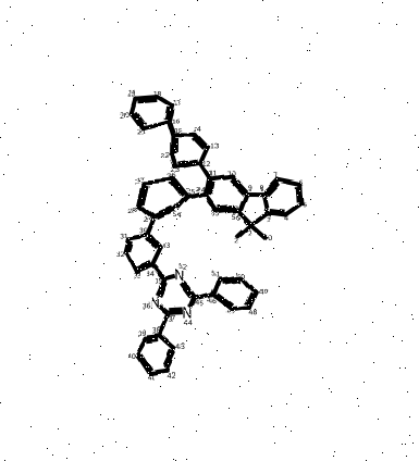 CC1(C)c2ccccc2-c2cc(-c3ccc(-c4ccccc4)cc3)c(-c3cccc(-c4cccc(-c5nc(-c6ccccc6)nc(-c6ccccc6)n5)c4)c3)cc21